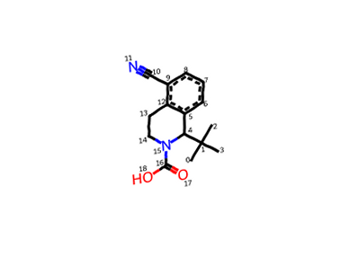 CC(C)(C)C1c2cccc(C#N)c2CCN1C(=O)O